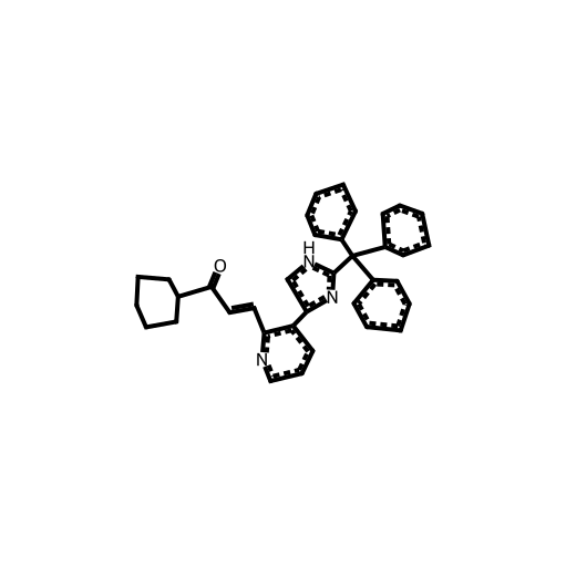 O=C(C=Cc1ncccc1-c1c[nH]c(C(c2ccccc2)(c2ccccc2)c2ccccc2)n1)C1CCCCC1